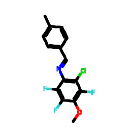 COc1c(F)c(F)c(N=Cc2ccc(C)cc2)c(Cl)c1F